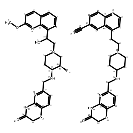 COc1ccc2cccc(C(O)CN3CC[C@H](NCc4ccc5c(n4)NC(=O)CS5)[C@H](F)C3)c2n1.N#Cc1ccc2nccc(CCN3CCC(NCc4ccc5c(n4)NC(=O)CO5)CC3)c2c1